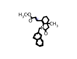 COC(=O)/C=C/C1=C2N(Cc3ccc4ccccc4c3)C(=O)CC2(C)CCC1